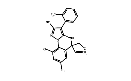 C=CC1(CCl)Nc2c(-c3ccccc3C(F)(F)F)c(C#N)nn2-c2c(Cl)cc(C(F)(F)F)cc21